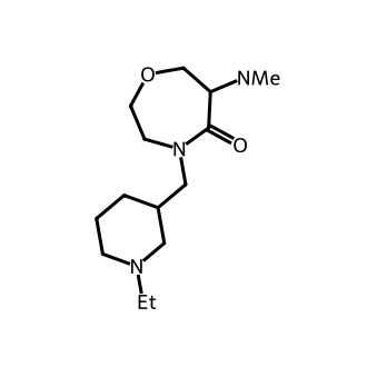 CCN1CCCC(CN2CCOCC(NC)C2=O)C1